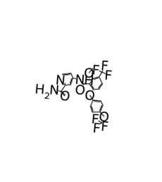 COc1c(C(F)(F)F)ccc(Oc2ccc(OC(F)(F)F)cc2)c1C(=O)Nc1ccnc(C(N)=O)c1